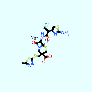 Cc1nnc(SCC2(C(=O)[O-])CS[C@@H]3C(NC(=O)C(=CCl)c4csc(N)n4)C(=O)N3C2)s1.[Na+]